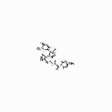 Nc1ccc(C(=O)NCCSc2nonc2-c2noc(=O)n2-c2ccc(F)c(Cl)c2)cn1